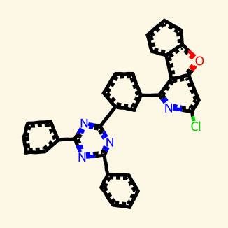 Clc1cc2oc3ccccc3c2c(-c2cccc(-c3nc(-c4ccccc4)nc(-c4ccccc4)n3)c2)n1